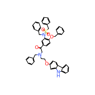 O=C(CN(CCOc1ccc2c(c1)[nH]c1ccccc12)Cc1ccccc1)c1ccc(OCc2ccccc2)c(N(Cc2ccccc2)S(=O)(=O)Cc2ccccc2)c1